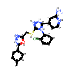 Cc1ccc(-c2nnc(CSc3nnc(-c4ccnc(N)c4)n3-c3ccccc3Cl)o2)cc1